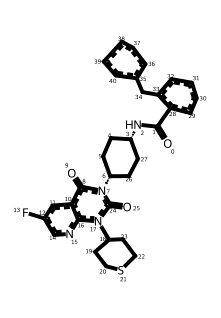 O=C(N[C@H]1CC[C@@H](n2c(=O)c3cc(F)cnc3n(C3CCSCC3)c2=O)CC1)c1ccccc1Cc1ccccc1